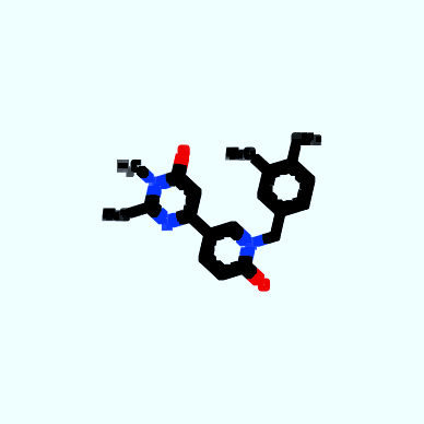 COc1ccc(Cn2cc(-c3cc(=O)n(C)c(SC)n3)ccc2=O)cc1OC